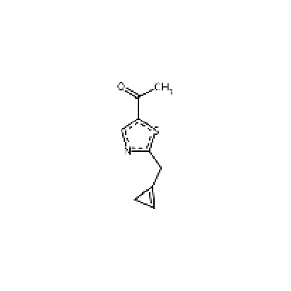 CC(=O)c1cnc(CC2=CC2)s1